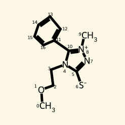 COCCn1c([S-])n[n+](C)c1-c1ccccc1